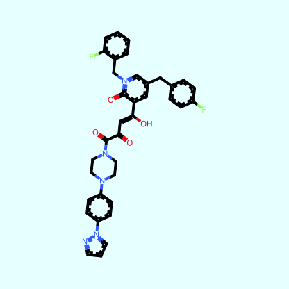 O=C(C=C(O)c1cc(Cc2ccc(F)cc2)cn(Cc2ccccc2F)c1=O)C(=O)N1CCN(c2ccc(-n3cccn3)cc2)CC1